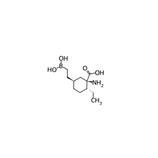 CC[C@@H]1CC[C@@H](CCB(O)O)C[C@]1(N)C(=O)O